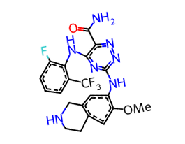 COc1cc2c(cc1Nc1nnc(C(N)=O)c(Nc3c(F)cccc3C(F)(F)F)n1)CNCC2